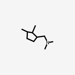 CC1CCC(CN(C)C)C1C